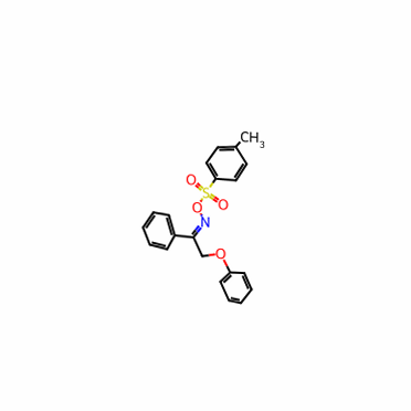 Cc1ccc(S(=O)(=O)O/N=C(/COc2ccccc2)c2ccccc2)cc1